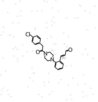 O=C/C=C/c1ccccc1N1CCN(C(=O)Cc2ccc(Cl)cc2)CC1